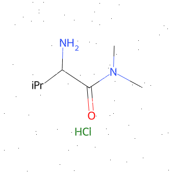 CC(C)C(N)C(=O)N(C)C.Cl